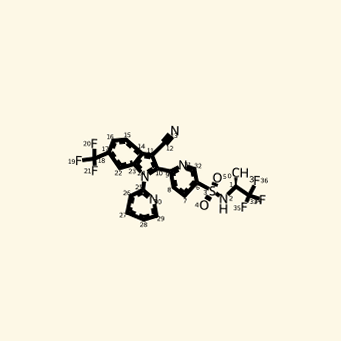 C[C@H](NS(=O)(=O)c1ccc(-c2c(C#N)c3ccc(C(F)(F)F)cc3n2-c2ccccn2)nc1)C(F)(F)F